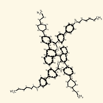 CCCCCCOc1ccc(-c2ccc(C(=O)Oc3c(-c4ccc(C5CCC(CCC)CC5)cc4)cc4ccccc4c3-c3c(OC(=O)c4ccc(-c5ccc(OCCCCCC)cc5)cc4)c(-c4ccc(C5CCC(CCC)CC5)cc4)cc4ccccc34)cc2)cc1